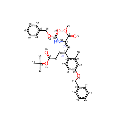 COC(=O)/C(=C/C(=C/CC(=O)OC(C)(C)C)c1ccc(OCc2ccccc2)cc1C)NC(=O)OCc1ccccc1